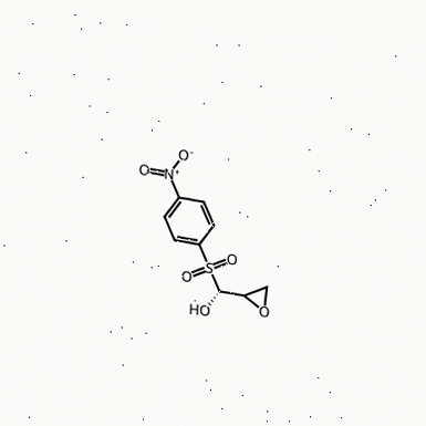 O=[N+]([O-])c1ccc(S(=O)(=O)[C@@H](O)C2CO2)cc1